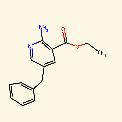 CCOC(=O)c1cc(Cc2ccccc2)cnc1N